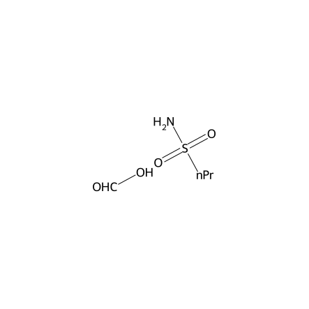 CCCS(N)(=O)=O.O=CO